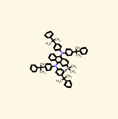 CC(C)(c1ccccc1)c1ccc(N(c2ccc(C(C)(C)c3ccccc3)cc2)c2c3ccccc3c(N(c3ccc(C(C)(C)c4ccccc4)cc3)c3ccc(C(C)(C)c4ccccc4)cc3)c3cc([Si](C)(C)C)ccc23)cc1